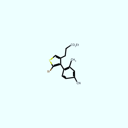 CCOC(=O)CCc1csc(Br)c1-c1ccc(C#N)cc1C